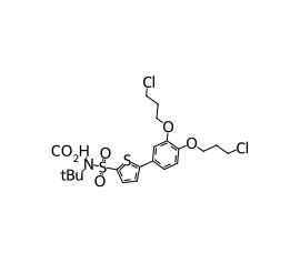 CC(C)(C)N(C(=O)O)S(=O)(=O)c1ccc(-c2ccc(OCCCCl)c(OCCCCl)c2)s1